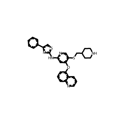 c1ccc(-c2csc(Nc3cc(Oc4cccc5ncccc45)c(SCC4CCNCC4)cn3)n2)cc1